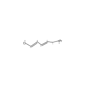 [CH2]CCCC=CC=CCl